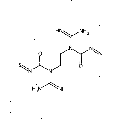 N=C(N)N(CCN(C(=N)N)C(=O)N=S)C(=O)N=S